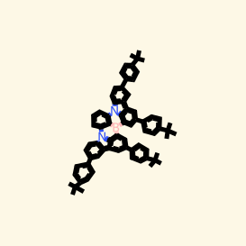 CC(C)(C)c1ccc(-c2ccc3c(c2)c2cc(-c4ccc(C(C)(C)C)cc4)cc4c2n3-c2cccc3c2B4c2cc(-c4ccc(C(C)(C)C)cc4)cc4c5cc(-c6ccc(C(C)(C)C)cc6)ccc5n-3c24)cc1